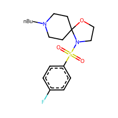 CCCCN1CCC2(CC1)OCCN2S(=O)(=O)c1ccc(F)cc1